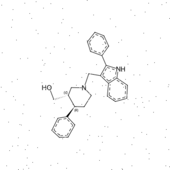 OC[C@@H]1CN(Cc2c(-c3ccccc3)[nH]c3ccccc23)CC[C@H]1c1ccccc1